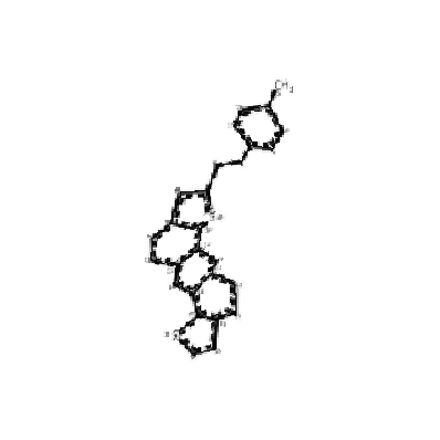 Cc1ccc(CCc2cc3ccc4cc5c(ccc6ccsc65)cc4c3s2)cc1